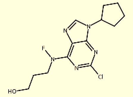 OCCCN(F)c1nc(Cl)nc2c1ncn2C1CCCC1